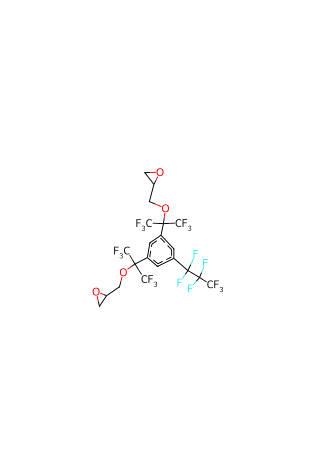 FC(F)(F)C(F)(F)C(F)(F)c1cc(C(OCC2CO2)(C(F)(F)F)C(F)(F)F)cc(C(OCC2CO2)(C(F)(F)F)C(F)(F)F)c1